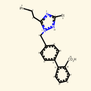 CCc1nc(CCC(C)C)n(Cc2ccc(-c3ccccc3C(=O)O)cc2)n1